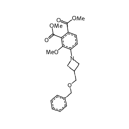 COC(=O)c1ccc(N2CC(COCc3ccccc3)C2)c(OC)c1C(=O)OC